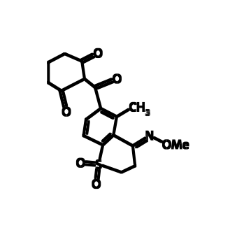 CO/N=C1\CCS(=O)(=O)c2ccc(C(=O)C3C(=O)CCCC3=O)c(C)c21